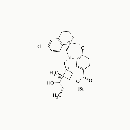 C=CC(O)[C@@]1(C)CC[C@@H]1CN1C[C@@]2(CCCc3cc(Cl)ccc32)COc2ccc(C(=O)OC(C)(C)C)cc21